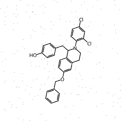 Oc1ccc(CC2c3ccc(OCc4ccccc4)cc3CCN2c2ccc(Cl)cc2Cl)cc1